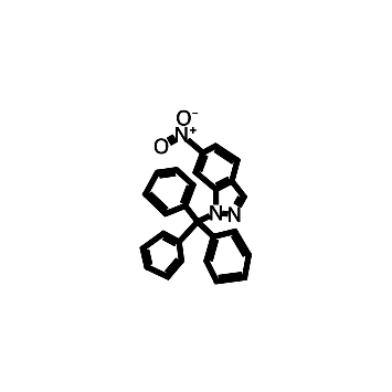 O=[N+]([O-])c1ccc2cnn(C(c3ccccc3)(c3ccccc3)c3ccccc3)c2c1